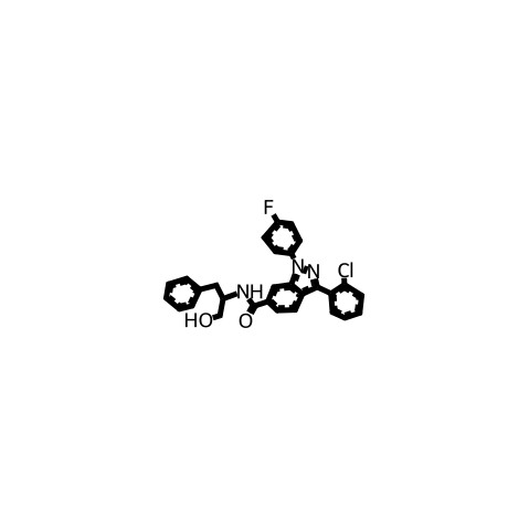 O=C(NC(CO)Cc1ccccc1)c1ccc2c(-c3ccccc3Cl)nn(-c3ccc(F)cc3)c2c1